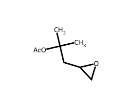 CC(=O)OC(C)(C)CC1CO1